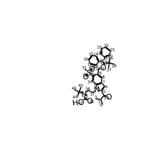 CC(C)C(=O)c1cc2cc(CO[Si](c3ccccc3)(c3ccccc3)C(C)(C)C)c(S(C)(=O)=O)cc2n1CCN(C(=O)O)C(C)(C)C